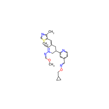 C/C=C\C(=C/c1scnc1C)CC(CN/N=C\OC)c1cc(/C=N/OCC2CC2)ccn1